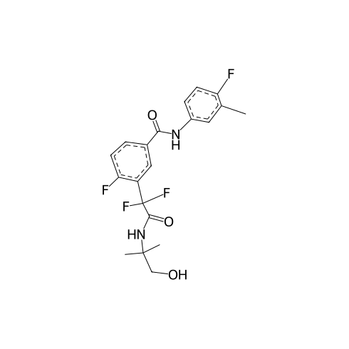 Cc1cc(NC(=O)c2ccc(F)c(C(F)(F)C(=O)NC(C)(C)CO)c2)ccc1F